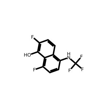 Oc1c(F)ccc2c(NC(F)(F)F)ccc(F)c12